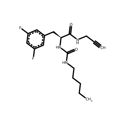 C#CCNC(=O)[C@H](Cc1cc(F)cc(F)c1)NC(=O)NCCCCC